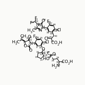 CC(C)=C1OC(=O)N(c2cc(OC3CCCC3)c(Cl)cc2F)C1=O.CP(=O)(O)CCC(N)C(=O)O.Cc1nn(-c2cc(CC(Cl)C(=O)O)c(Cl)cc2F)c(=O)n1C(F)F